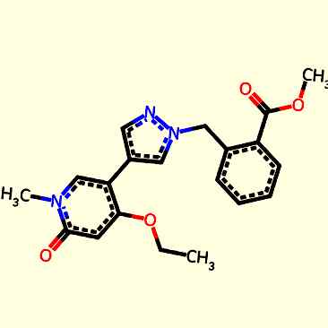 CCOc1cc(=O)n(C)cc1-c1cnn(Cc2ccccc2C(=O)OC)c1